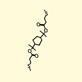 CSCCC(=O)OC(C)(C)C1CCC(C(C)(C)OC(=O)CCSC)CC1